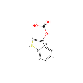 OB(O)Oc1csc2ccccc12